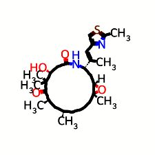 C/C(=C\c1csc(C)n1)[C@@H]1C[C@@H]2O[C@]2(C)CCC[C@H](C)C[C@@H](C)C(=O)C(C)(C)[C@@H](O)CC(=O)N1